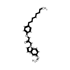 CCCCCCCCc1ccc(OCC(=O)Cn2ccc3cc(OC)ccc32)cc1